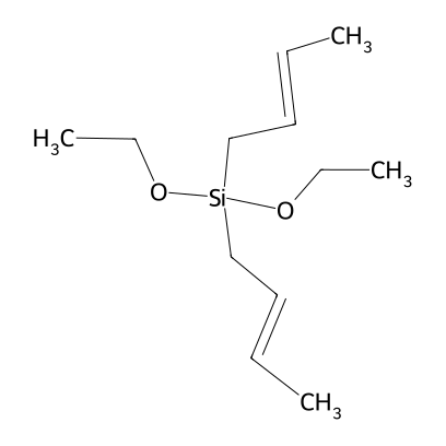 CC=CC[Si](CC=CC)(OCC)OCC